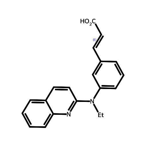 CCN(c1cccc(/C=C/C(=O)O)c1)c1ccc2ccccc2n1